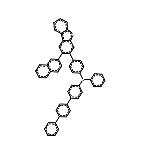 c1ccc(-c2ccc(-c3ccc(N(c4ccccc4)c4ccc(-c5cc6sc7ccccc7c6cc5-c5ccc6ccccc6c5)cc4)cc3)cc2)cc1